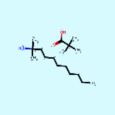 CC(C)(C)C(=O)O.CCCCCCCCCC(C)(C)N